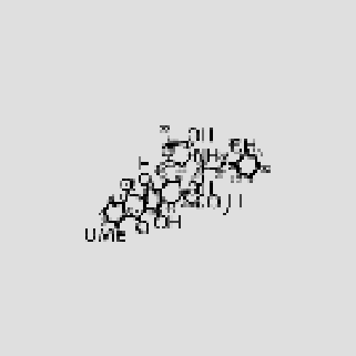 COc1cccc2c1C(=O)c1c(O)c3c(c(O)c1C2=O)[C@@H](O[C@@H]1C[C@@H](NC(=O)/C=C/c2ccccc2O)[C@@H](O)[C@@H](C)O1)C[C@](O)(CC(=O)O)C3